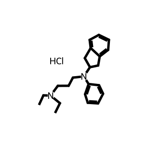 CCN(CC)CCCN(c1ccccc1)C1Cc2ccccc2C1.Cl